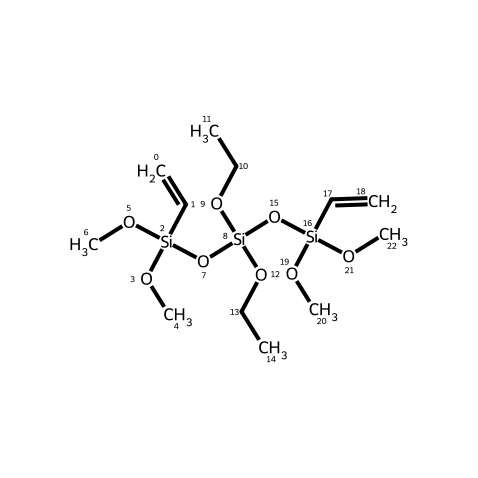 C=C[Si](OC)(OC)O[Si](OCC)(OCC)O[Si](C=C)(OC)OC